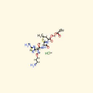 CC1CC(C(=O)OCOC(=O)C(C)(C)C)[N+]2=C(S1)C(NC(=O)C(=NOCCCN)c1nsc(N)n1)C2=O.Cl